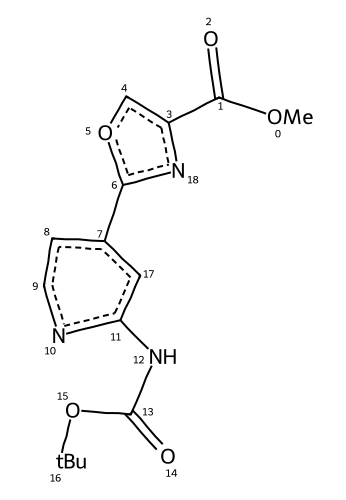 COC(=O)c1coc(-c2ccnc(NC(=O)OC(C)(C)C)c2)n1